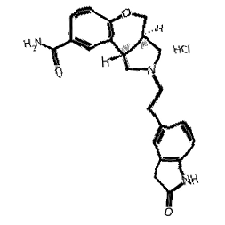 Cl.NC(=O)c1ccc2c(c1)[C@H]1CN(CCc3ccc4c(c3)CC(=O)N4)C[C@@H]1CO2